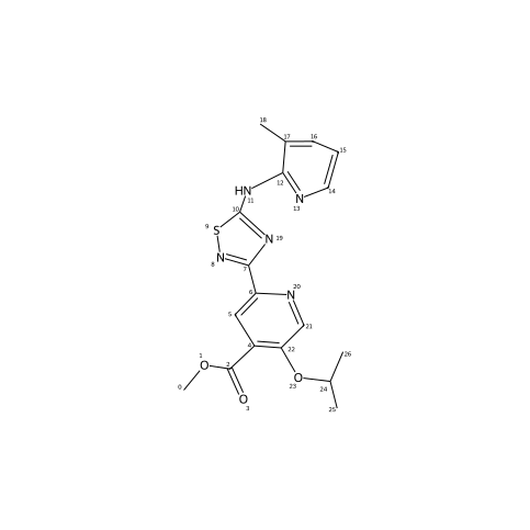 COC(=O)c1cc(-c2nsc(Nc3ncccc3C)n2)ncc1OC(C)C